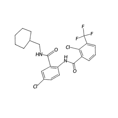 O=C(NCC1CCCCC1)c1cc(Cl)ccc1NC(=O)c1cccc(C(F)(F)F)c1Cl